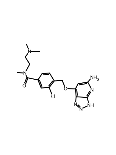 CN(C)CCN(C)C(=O)c1ccc(COc2cc(N)nc3[nH]nnc23)c(Cl)c1